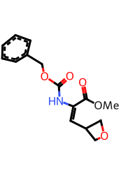 COC(=O)C(=CC1COC1)NC(=O)OCc1ccccc1